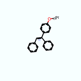 CCCOc1ccc(/C(=C/c2ccccc2)c2ccccc2)cc1